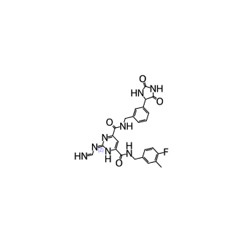 Cc1cc(CNC(=O)c2cc(C(=O)NCc3cccc(C4NC(=O)NC4=O)c3)n/c(=N/C=N)[nH]2)ccc1F